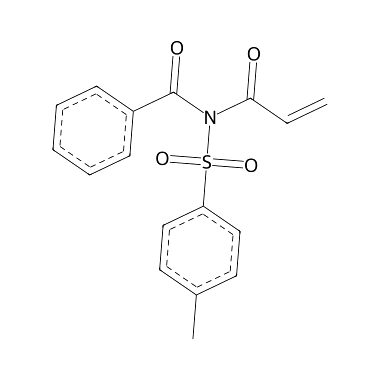 C=CC(=O)N(C(=O)c1ccccc1)S(=O)(=O)c1ccc(C)cc1